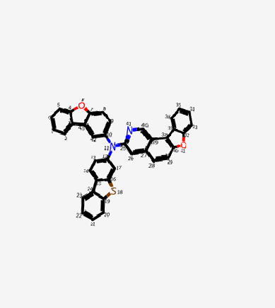 c1ccc2c(c1)oc1ccc(N(c3ccc4c(c3)sc3ccccc34)c3cc4ccc5oc6ccccc6c5c4cn3)cc12